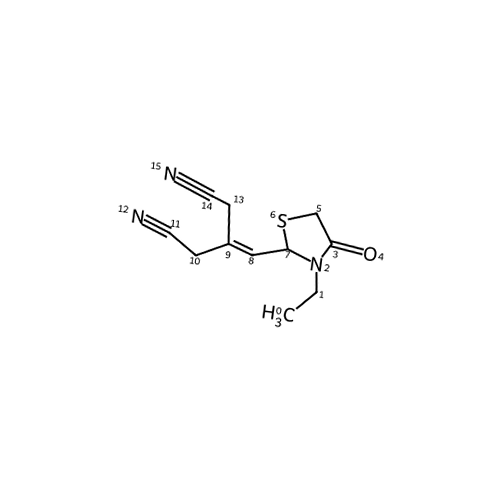 CCN1C(=O)CSC1C=C(CC#N)CC#N